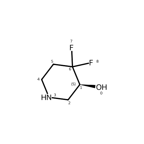 O[C@H]1CNCCC1(F)F